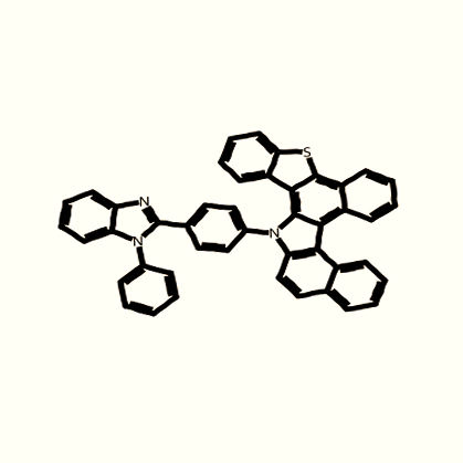 c1ccc(-n2c(-c3ccc(-n4c5ccc6ccccc6c5c5c6ccccc6c6sc7ccccc7c6c54)cc3)nc3ccccc32)cc1